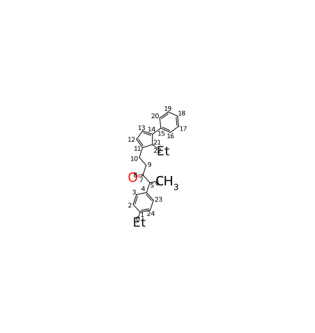 CCc1ccc(C(C)C(=O)CCC2=CC=C(c3ccccc3)C2CC)cc1